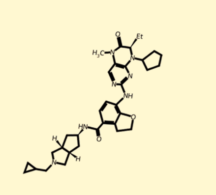 CC[C@@H]1C(=O)N(C)c2cnc(Nc3ccc(C(=O)N[C@H]4C[C@@H]5CN(CC6CC6)C[C@@H]5C4)c4c3OCC4)nc2N1C1CCCC1